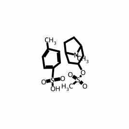 CN1C2CCC1CC(OS(C)(=O)=O)C2.Cc1ccc(S(=O)(=O)O)cc1